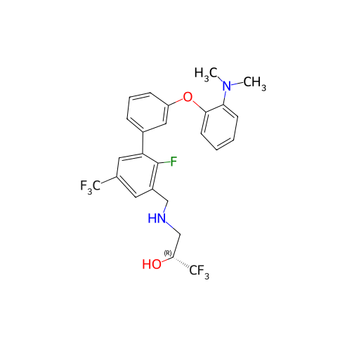 CN(C)c1ccccc1Oc1cccc(-c2cc(C(F)(F)F)cc(CNC[C@@H](O)C(F)(F)F)c2F)c1